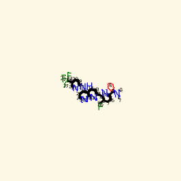 CN(C)C(=O)c1ccc(CF)c(-c2ccc3c(Nc4ccc(C(F)(F)F)cn4)ccnc3n2)n1